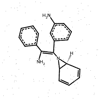 N/C(=C(/c1cccc(N)c1)N1C2C=CC=C[C@@H]21)c1ccccc1